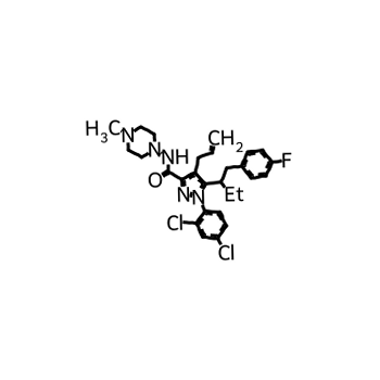 C=CCc1c(C(=O)NN2CCN(C)CC2)nn(-c2ccc(Cl)cc2Cl)c1C(CC)Cc1ccc(F)cc1